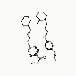 CC=Cc1ccc(OCCCN2CCCCC2C)cc1.COC(=O)c1ccc(OCCCN2CCCCC2)cc1